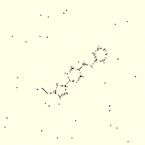 CCCN1C=CN(c2ccc(OCc3ccccc3)cc2)C1